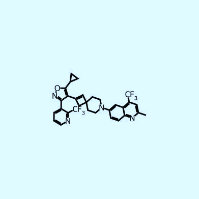 Cc1cc(C(F)(F)F)c2cc(N3CCC4(C=C(c5c(-c6cccnc6C(F)(F)F)noc5C5CC5)C4)CC3)ccc2n1